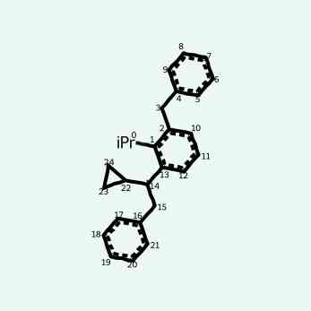 CC(C)c1c(Cc2ccccc2)cccc1[C](Cc1ccccc1)C1CC1